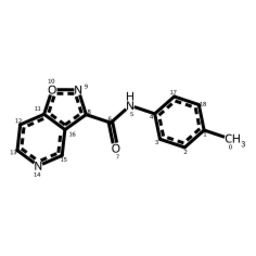 Cc1ccc(NC(=O)c2noc3ccncc23)cc1